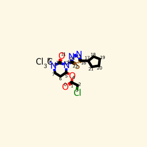 O=C(CCl)OC1CCN(C(Cl)(Cl)Cl)C(=O)N1c1nnc(C2CCCC2)s1